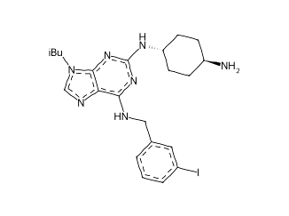 CCC(C)n1cnc2c(NCc3cccc(I)c3)nc(N[C@H]3CC[C@H](N)CC3)nc21